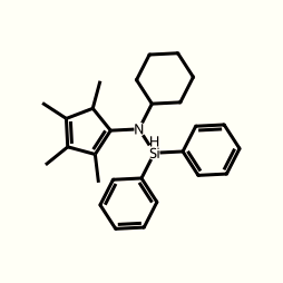 CC1=C(C)C(C)C(N(C2CCCCC2)[SiH](c2ccccc2)c2ccccc2)=C1C